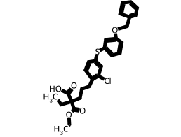 CCOC(=O)C(CC)(CCCc1ccc(Sc2cccc(OCc3ccccc3)c2)cc1Cl)C(=O)O